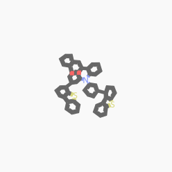 c1cc(-c2cccc3c2sc2ccccc23)cc(N(c2cccc(-c3cccc4sc5ccccc5c34)c2)c2ccccc2-c2ccc3ccccc3c2)c1